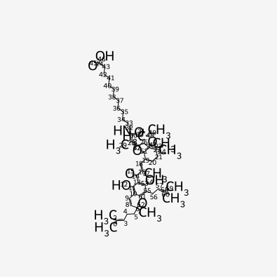 CC(C)=CCCC1(C)C=Cc2c(O)c(C(=O)/C(C)=C/C3CCC(C)(C)C(C/C=C(/C)C(=O)NCCCCCCCCCCCC(=O)O)(OC(C)C)C3=O)c(O)c(CC=C(C)C)c2O1